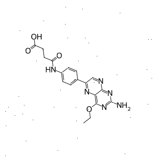 CCOc1nc(N)nc2ncc(-c3ccc(NC(=O)CCC(=O)O)cc3)nc12